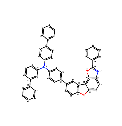 c1ccc(-c2ccc(N(c3ccc(-c4ccc5oc6ccc7nc(-c8ccccc8)oc7c6c5c4)cc3)c3cccc(-c4ccccc4)c3)cc2)cc1